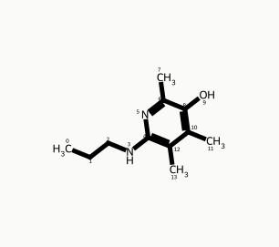 CCCNc1nc(C)c(O)c(C)c1C